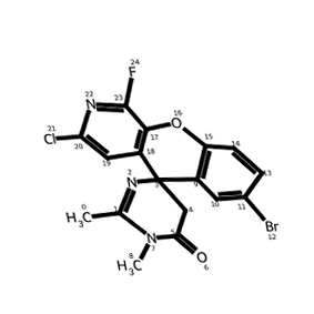 CC1=NC2(CC(=O)N1C)c1cc(Br)ccc1Oc1c2cc(Cl)nc1F